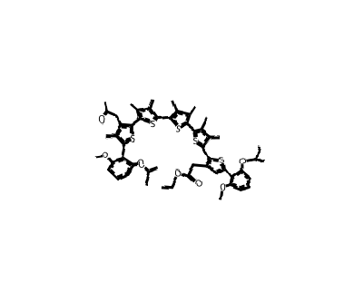 CCOC(=O)Cc1cc(-c2c(OC)cccc2OC(C)C)sc1-c1sc(-c2sc(-c3sc(-c4sc(-c5c(OC)cccc5OC(C)C)c(C)c4CC(C)=O)c(C)c3C)c(C)c2C)c(C)c1C